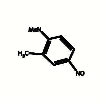 CNc1ccc(N=O)cc1C